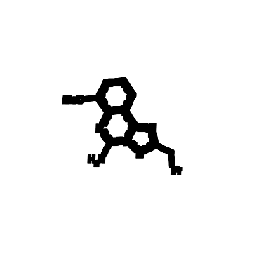 COc1cccc2c1nc(N)n1nc(CC(C)C)nc21